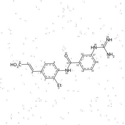 CCc1cc(C=CC(=O)O)ccc1NC(=O)c1cccc(NC(=N)N)c1